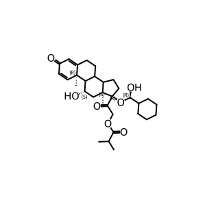 CC(C)C(=O)OCC(=O)[C@@]1(O[C@@H](O)C2CCCCC2)CCC2C3CCC4=CC(=O)C=C[C@]4(C)C3[C@@H](O)C[C@@]21C